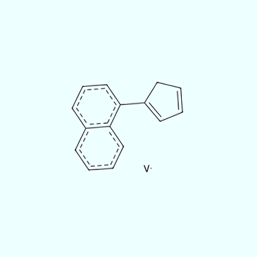 C1=CCC(c2cccc3ccccc23)=C1.[V]